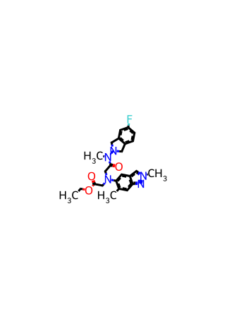 CCOC(=O)CN(CC(=O)N(C)N1Cc2ccc(F)cc2C1)c1cc2cn(C)nc2cc1C